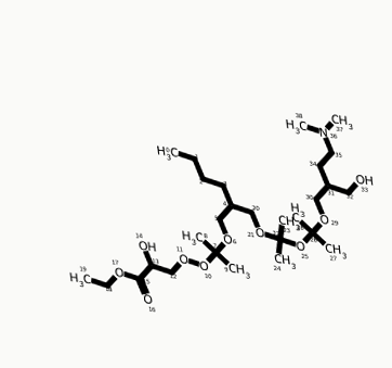 CCCCC(COC(C)(C)OOCC(O)C(=O)OCC)COC(C)(C)OC(C)(C)OCC(CO)CCN(C)C